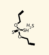 C=CCOP(=S)(S)OCC=C.S